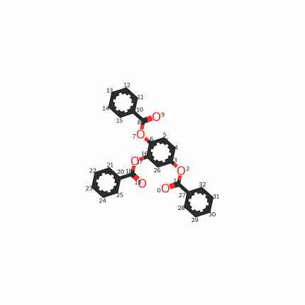 O=C(Oc1c[c]c(OC(=O)c2ccccc2)c(OC(=O)c2ccccc2)c1)c1ccccc1